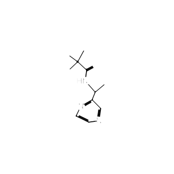 CC(NC(=O)C(C)(C)C)c1cnccn1